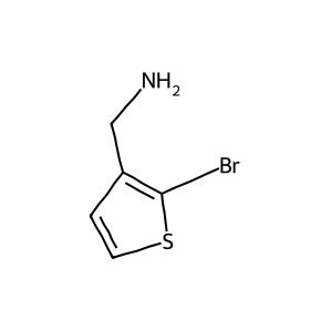 NCc1ccsc1Br